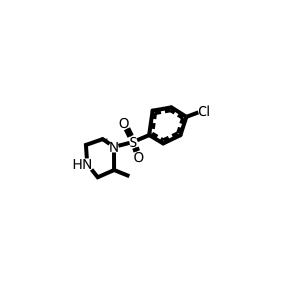 CC1CNC[CH]N1S(=O)(=O)c1ccc(Cl)cc1